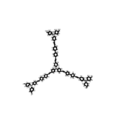 Cc1ccc(N(c2ccc(C)cc2)c2ccc(C#Cc3ccc(-c4ccc(C#Cc5ccc(N(c6ccc(C#Cc7ccc(-c8ccc(C#Cc9ccc(N(c%10ccc(C)cc%10)c%10ccc(C)cc%10)cc9)cc8)cc7)cc6)c6ccc(C#Cc7ccc(-c8ccc(C#Cc9ccc(N(c%10ccc(C)cc%10)c%10ccc(C)cc%10)cc9)cc8)cc7)cc6)cc5)cc4)cc3)cc2)cc1